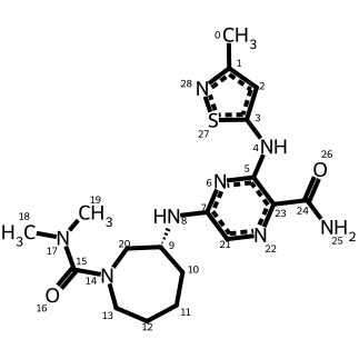 Cc1cc(Nc2nc(N[C@@H]3CCCCN(C(=O)N(C)C)C3)cnc2C(N)=O)sn1